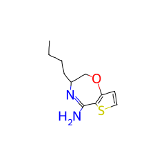 CCCCC1COc2ccsc2C(N)=N1